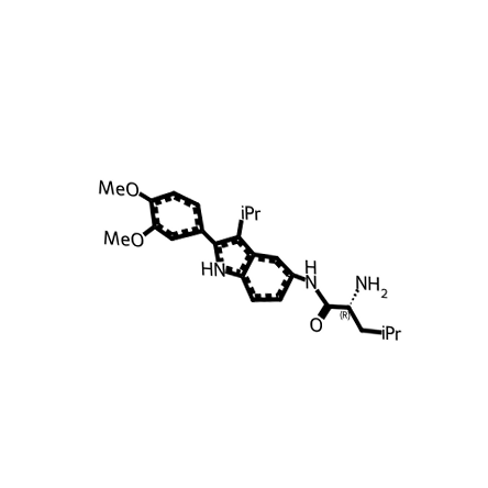 COc1ccc(-c2[nH]c3ccc(NC(=O)[C@H](N)CC(C)C)cc3c2C(C)C)cc1OC